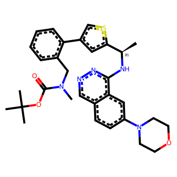 C[C@@H](Nc1nncc2ccc(N3CCOCC3)cc12)c1cc(-c2ccccc2CN(C)C(=O)OC(C)(C)C)cs1